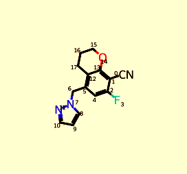 N#Cc1c(F)cc(Cn2cccn2)c2c1OCCC2